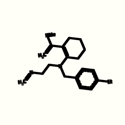 C=NCCN(Cc1ccc(CC)cc1)C1=C(C(=C)NC)CCCC1